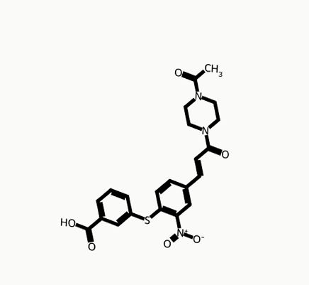 CC(=O)N1CCN(C(=O)C=Cc2ccc(Sc3cccc(C(=O)O)c3)c([N+](=O)[O-])c2)CC1